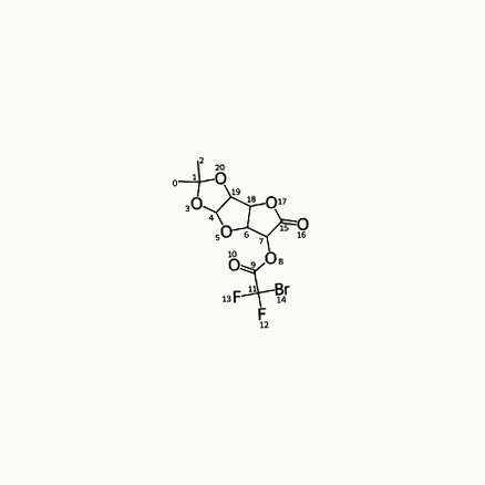 CC1(C)OC2OC3C(OC(=O)C(F)(F)Br)C(=O)OC3C2O1